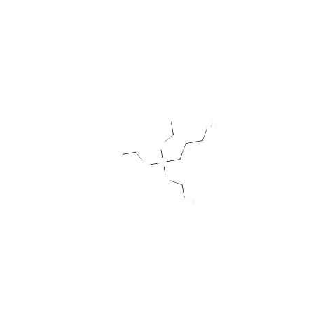 CCOS(CCCS)(OCC)OCC